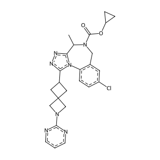 CC1c2nnc(C3CC4(C3)CN(c3ncccn3)C4)n2-c2ccc(Cl)cc2CN1C(=O)OC1CC1